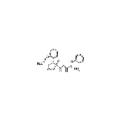 C=C/C=c1/cccc/c1=C(/C=C)S(=O)(=O)NCN[C@@H](N)Nc1ccccc1